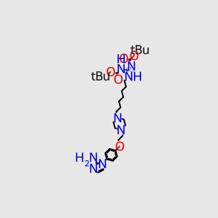 CC(C)(C)OC(=O)/N=C(/NCCCCCCCN1CCN(CCOc2ccc(-n3ccnc3N)cc2)CC1)NC(=O)OC(C)(C)C